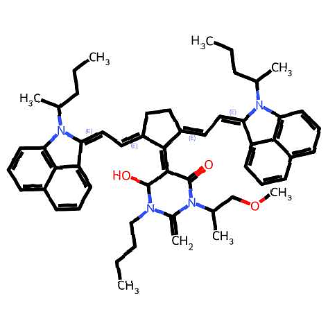 C=C1N(CCCC)C(O)C(=C2/C(=C/C=c3\c4cccc5cccc(c54)n3C(C)CCC)CC/C2=C\C=c2/c3cccc4cccc(c43)n2C(C)CCC)C(=O)N1C(C)COC